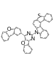 c1ccc2c(c1)oc1ccc(-c3nc(-n4c5ccccc5c5c6c(ccc54)sc4ccccc46)nc4c3oc3ccccc34)cc12